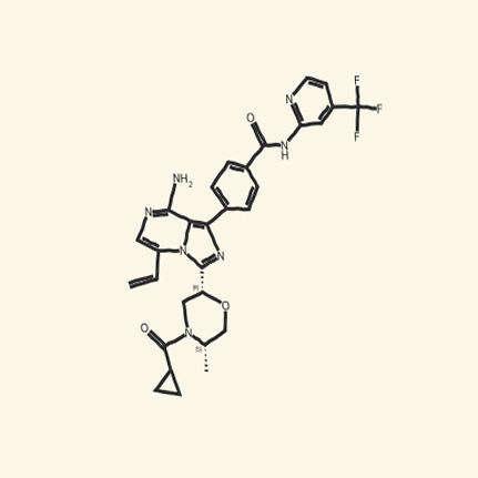 C=Cc1cnc(N)c2c(-c3ccc(C(=O)Nc4cc(C(F)(F)F)ccn4)cc3)nc([C@H]3CN(C(=O)C4CC4)[C@@H](C)CO3)n12